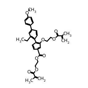 C=C(C)C(=O)OCCOC(=O)c1ccc(-c2ccc(-c3ccc(OC)cc3)cc2CC)c(OCCOC(=O)C(=C)C)c1